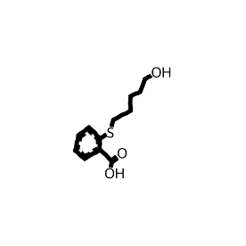 O=C(O)c1ccccc1SCCCCCO